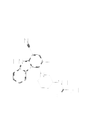 N#Cc1cc(F)c(N2CCCC(NC(=O)O)C2)c2c1[nH]c1ccccc12